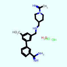 CC(=N)N1CCC(CNCc2cc(C(=O)O)cc(-c3cccc(C(=N)N)c3)c2)CC1.Cl.Cl.O